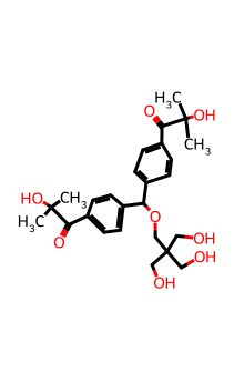 CC(C)(O)C(=O)c1ccc(C(OCC(CO)(CO)CO)c2ccc(C(=O)C(C)(C)O)cc2)cc1